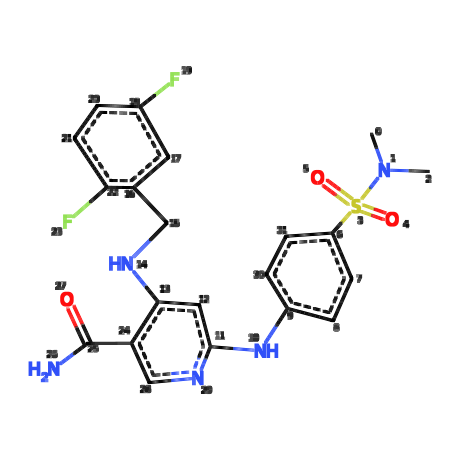 CN(C)S(=O)(=O)c1ccc(Nc2cc(NCc3cc(F)ccc3F)c(C(N)=O)cn2)cc1